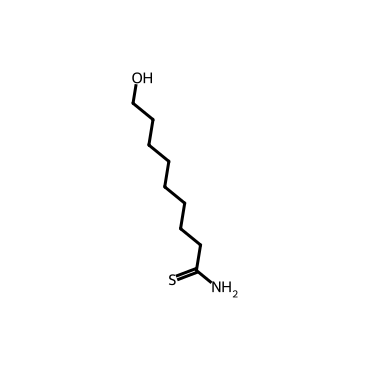 NC(=S)CCCCCCCCO